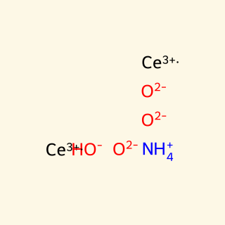 [Ce+3].[Ce+3].[NH4+].[O-2].[O-2].[O-2].[OH-]